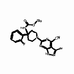 CC(C)(C)OC(=O)NC1(c2ccccc2F)CCN(c2nc(C#N)c3c(Br)n[nH]c3n2)CC1